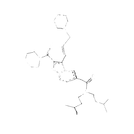 CC(C)CCN(CCC(C)C)C(=O)c1ccn2nc(C(=O)N3CCOCC3)c(C=CCN3CCCCC3)c2c1